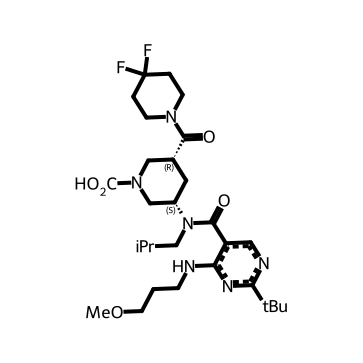 COCCCNc1nc(C(C)(C)C)ncc1C(=O)N(CC(C)C)[C@H]1C[C@@H](C(=O)N2CCC(F)(F)CC2)CN(C(=O)O)C1